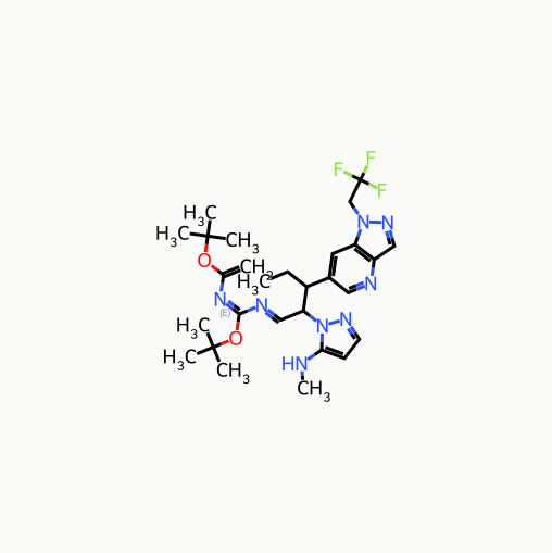 C=C(/N=C(\N=CC(C(CC)c1cnc2cnn(CC(F)(F)F)c2c1)n1nccc1NC)OC(C)(C)C)OC(C)(C)C